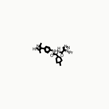 Cc1n[nH]c(C)c1-c1ccc(NC(=O)[C@@H](NC(=O)c2cnnn2C(C)C)C2CCC(C)CC2)cc1